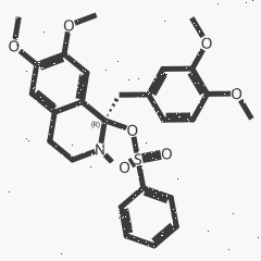 COc1ccc(C[C@@]2(OS(=O)(=O)c3ccccc3)c3cc(OC)c(OC)cc3CCN2C)cc1OC